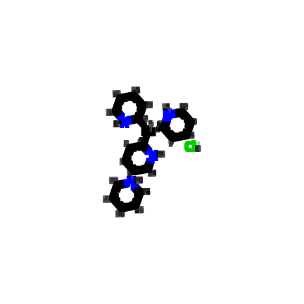 [Cl-].c1cc[c]([Ru+]([c]2ccccn2)[c]2ccccn2)nc1.c1ccncc1